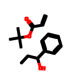 C=CC(=O)OC(C)(C)C.CCC(O)c1ccccc1